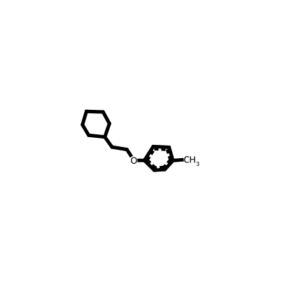 Cc1ccc(OCCC2CCCCC2)cc1